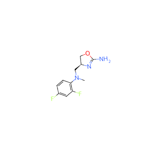 CN(C[C@H]1COC(N)=N1)c1ccc(F)cc1F